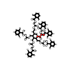 Cc1cccc(C)c1C(=O)OOC(=O)OCCC(COC(=O)OOC(=O)c1c(C)cccc1C)C(COC(=O)OOC(=O)c1c(C)cccc1C)C(COC(=O)OOC(=O)c1c(C)cccc1C)C(CCOC(=O)OOC(=O)c1c(C)cccc1C)COC(=O)OOC(=O)c1c(C)cccc1C